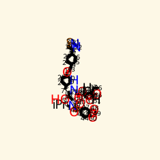 CC(C)CN(C[C@@H](O)[C@H](Cc1ccc(OCc2ccc(-c3csnn3)cc2)cc1)NC(=O)O[C@H]1CO[C@H]2OCC[C@H]21)S(=O)(=O)c1ccc2c(c1)OCO2